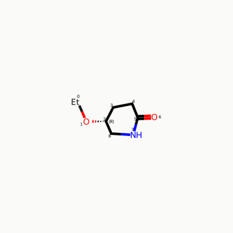 CCO[C@@H]1CCC(=O)NC1